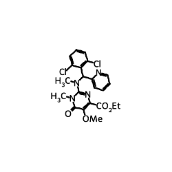 CCOC(=O)c1nc(N(C)C(c2ccccn2)c2c(Cl)cccc2Cl)n(C)c(=O)c1OC